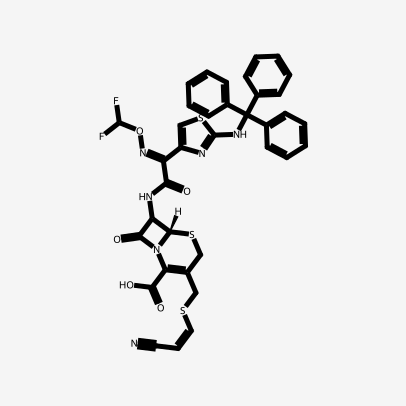 N#C/C=C\SCC1=C(C(=O)O)N2C(=O)C(NC(=O)C(=NOC(F)F)c3csc(NC(c4ccccc4)(c4ccccc4)c4ccccc4)n3)[C@@H]2SC1